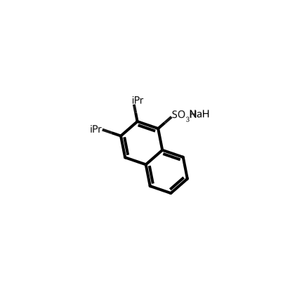 CC(C)c1cc2ccccc2c(S(=O)(=O)O)c1C(C)C.[NaH]